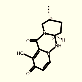 C[C@@H]1CC[C@H]2Nn3ccc(=O)c(O)c3C(=O)N2C1